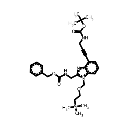 CC(C)(C)OC(=O)NCC#Cc1cccc2c1nc(CNC(=O)OCc1ccccc1)n2COCC[Si](C)(C)C